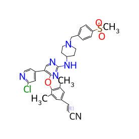 Cc1cc(/C=C/C#N)cc(C)c1Oc1nc(NC2CCN(Cc3ccc(S(C)(=O)=O)cc3)CC2)ncc1-c1ccnc(Cl)c1